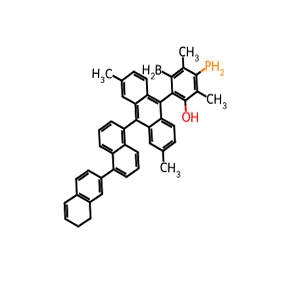 Bc1c(C)c(P)c(C)c(O)c1-c1c2ccc(C)cc2c(-c2cccc3c(-c4ccc5c(c4)CCC=C5)cccc23)c2cc(C)ccc12